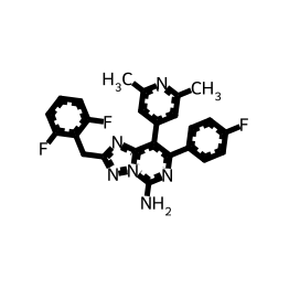 Cc1cc(-c2c(-c3ccc(F)cc3)nc(N)n3nc(Cc4c(F)cccc4F)nc23)cc(C)n1